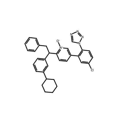 [O-][n+]1cc(-c2cc(Cl)ccc2-n2cnnn2)ccc1C(Cc1ccccc1)c1cccc(C2CCCCC2)c1